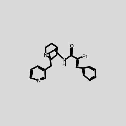 CCC(=Cc1ccccc1)C(=O)NC1C2CCN(CC2)C1Cc1cccnc1